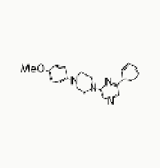 COc1ccc(N2CCN(c3cncc(-c4ccccc4)n3)CC2)cc1